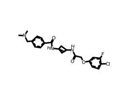 CN(C)Cc1ccc(C(=O)NC23CC(NC(=O)COc4ccc(Cl)c(F)c4)(C2)C3)cc1